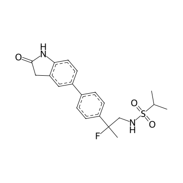 CC(C)S(=O)(=O)NCC(C)(F)c1ccc(-c2ccc3c(c2)CC(=O)N3)cc1